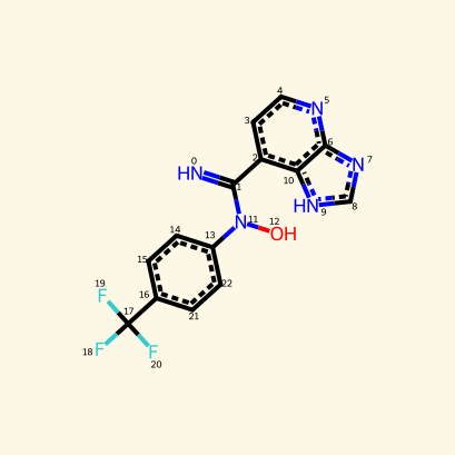 N=C(c1ccnc2nc[nH]c12)N(O)c1ccc(C(F)(F)F)cc1